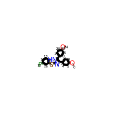 COc1ccc(-c2nc(Sc3cccc(F)c3)[nH]c2-c2ccc(OC)cc2)cc1